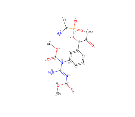 COC(=O)C(OP(=O)(O)C(N)C(C)C)c1cccc(N(C(=O)OC(C)(C)C)C(N)=NC(=O)OC(C)(C)C)c1